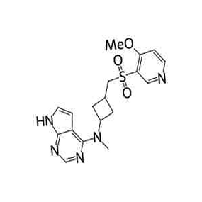 COc1ccncc1S(=O)(=O)CC1CC(N(C)c2ncnc3[nH]ccc23)C1